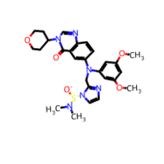 COc1cc(OC)cc(N(Cc2nccn2[S+]([O-])N(C)C)c2ccc3ncn(C4CCOCC4)c(=O)c3c2)c1